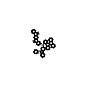 CC1(C)c2ccccc2-c2cc3c(cc21)-c1cc(N(c2ccc4c5ccccc5n(-c5ccccc5)c4c2)c2cccc4c2-c2ccccc2C42c4ccccc4-c4ccccc42)ccc1C3(C)C